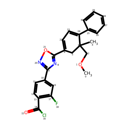 COCC1(C)CC(c2nc(-c3ccc(C(=O)Cl)c(F)c3)no2)=CC=C1c1ccccc1